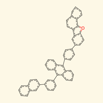 c1cc(-c2ccc3ccccc3c2)cc(-c2c3ccccc3c(-c3ccc(-c4ccc5oc6c7ccccc7ccc6c5c4)cc3)c3ccccc23)c1